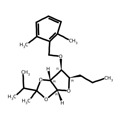 CCC[C@H]1O[C@@H]2OC(C)(C(C)C)O[C@@H]2[C@H]1OCc1c(C)cccc1C